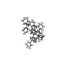 c1ccc(-c2nc(-c3cccc4c3c3ccccc3n4-c3ccccc3-n3c4ccccc4c4c3ccc3c5ccccc5n(-c5ccccc5)c34)n(-c3ccccc3)n2)cc1